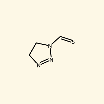 S=CN1CCN=N1